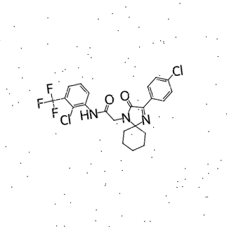 O=C(CN1C(=O)C(c2ccc(Cl)cc2)=NC12CCCCC2)Nc1cccc(C(F)(F)F)c1Cl